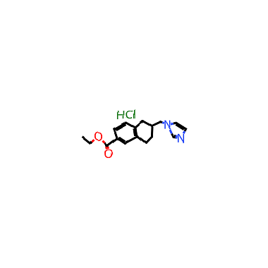 CCOC(=O)c1ccc2c(c1)CCC(Cn1ccnc1)C2.Cl